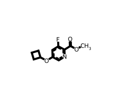 COC(=O)c1ncc(OC2CCC2)cc1F